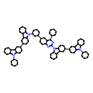 c1ccc(-c2nc(-n3c4ccccc4c4cc(-c5ccc6c(c5)c5ccccc5n6-c5ccccc5)ccc43)nc3ccc(-c4cccc(-n5c6ccccc6c6cc(-c7ccc8c(c7)c7ccccc7n8-c7ccccc7)ccc65)c4)cc23)cc1